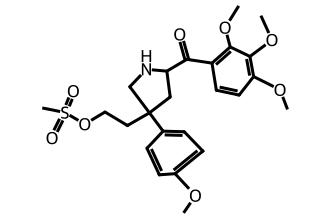 COc1ccc(C2(CCOS(C)(=O)=O)CNC(C(=O)c3ccc(OC)c(OC)c3OC)C2)cc1